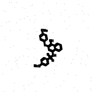 COc1ccc(Sc2cc(NS(=O)(=O)c3ccc(OC)cc3)c3ccccc3c2O)cc1